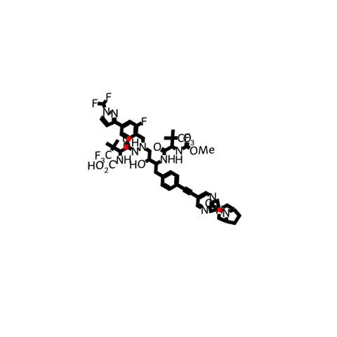 COC(=O)NC(C(=O)NC(Cc1ccc(C#Cc2cnc(N3CC4CCC(C3)N4C3COC3)nc2)cc1)C(O)CN(Cc1c(F)cc(-c2ccn(C(F)F)n2)cc1F)NC(=O)C(NC(=O)O)C(C)(C)C(F)(F)F)C(C)(C)C(F)(F)F